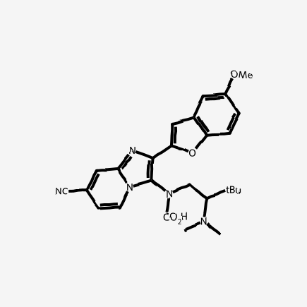 COc1ccc2oc(-c3nc4cc(C#N)ccn4c3N(CC(N(C)C)C(C)(C)C)C(=O)O)cc2c1